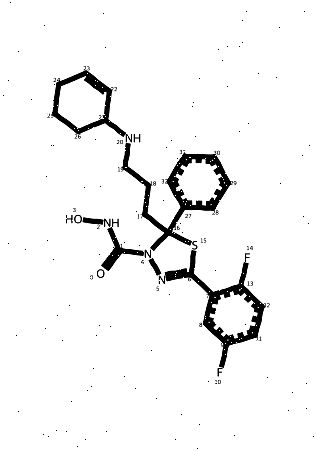 O=C(NO)N1N=C(c2cc(F)ccc2F)SC1(CCCNC1C=CCCC1)c1ccccc1